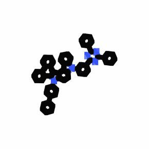 c1ccc(-c2ccc(-n3c4ccc5c(c6ccccc6n5-c5cccc(-c6nc(-c7ccccc7)nc(-c7ccccc7)n6)c5)c4c4c5ccccc5c5ccccc5c43)cc2)cc1